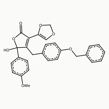 COc1ccc(C2(O)OC(=O)C(C3=COCO3)=C2Cc2ccc(OCc3ccccc3)cc2)cc1